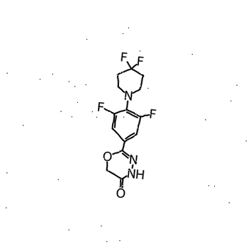 O=C1COC(c2cc(F)c(N3CCC(F)(F)CC3)c(F)c2)=NN1